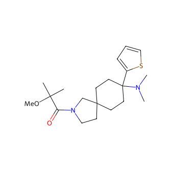 COC(C)(C)C(=O)N1CCC2(CCC(c3cccs3)(N(C)C)CC2)C1